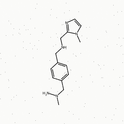 CN(N)Cc1ccc(CNCc2nccn2C)cc1